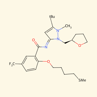 CSCCCCOc1ccc(C(F)(F)F)cc1C(=O)N=c1cc(C(C)(C)C)n(C)n1C[C@H]1CCCO1